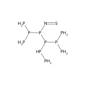 PPP(P(P)P)P(N=S)P(P)P